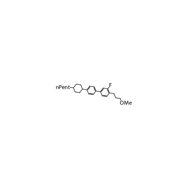 CCCCCC1CCC(c2ccc(-c3ccc(CCCOC)c(F)c3)cc2)CC1